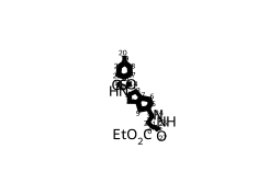 CCOC(=O)C1CC(c2ccc3c(c2)CC(NS(=O)(=O)c2ccc(C)cc2)C3)=NNC1=O